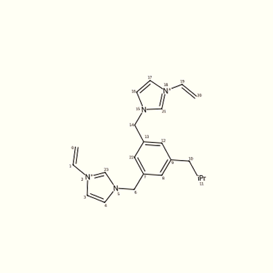 C=C[n+]1ccn(Cc2cc(CC(C)C)cc(Cn3cc[n+](C=C)c3)c2)c1